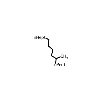 CCCCCCCCC[CH]CC(C)CCCCC